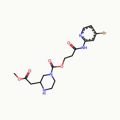 COC(=O)CC1CN(C(=O)OCCC(=O)Nc2cc(Br)ccn2)CCN1